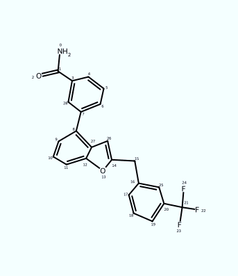 NC(=O)c1cccc(-c2cccc3oc(Cc4cccc(C(F)(F)F)c4)cc23)c1